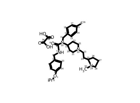 CC(C)Oc1ccc(CNC(=O)N(Cc2ccc(F)cc2)C2CCN(CCC3CCCN3C)CC2)cc1.O=C(O)C(=O)O